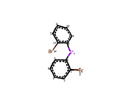 Brc1ccccc1[I+]c1ccccc1Br